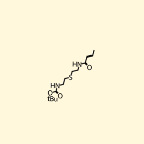 C/C=C/C(=O)NCCSCCNC(=O)OC(C)(C)C